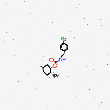 CC(C)[C@@H]1CC[C@@H](C)C[C@H]1OC(=O)NCCc1ccc(Br)cc1